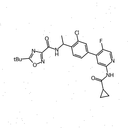 CC(NC(=O)c1noc(C(C)(C)C)n1)c1ccc(-c2cc(NC(=O)C3CC3)ncc2F)cc1Cl